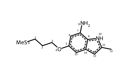 CSCCCOc1cc(N)c2[nH]c(C)cc2c1